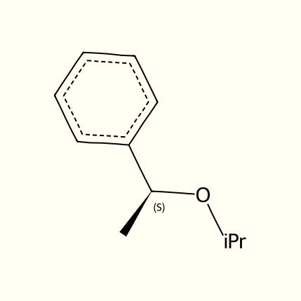 CC(C)O[C@@H](C)c1ccccc1